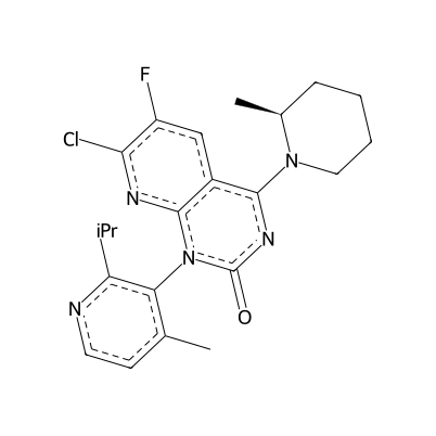 Cc1ccnc(C(C)C)c1-n1c(=O)nc(N2CCCC[C@@H]2C)c2cc(F)c(Cl)nc21